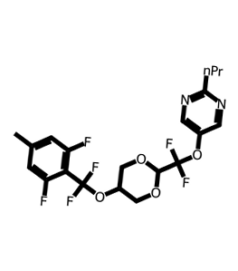 CCCc1ncc(OC(F)(F)C2OCC(OC(F)(F)c3c(F)cc(C)cc3F)CO2)cn1